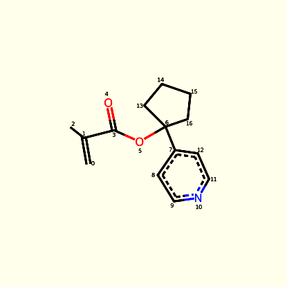 C=C(C)C(=O)OC1(c2ccncc2)CCCC1